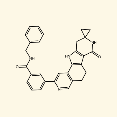 O=C(NCc1ccccc1)c1cccc(-c2cc3c(cn2)CCc2c-3[nH]c3c2C(=O)NC2(CC2)C3)c1